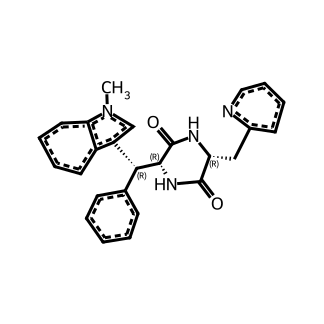 Cn1cc([C@@H](c2ccccc2)[C@H]2NC(=O)[C@@H](Cc3ccccn3)NC2=O)c2ccccc21